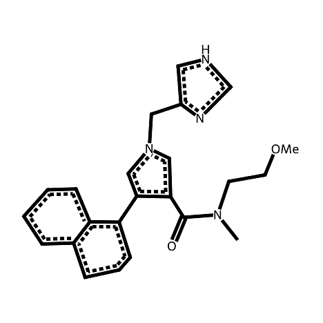 COCCN(C)C(=O)c1cn(Cc2c[nH]cn2)cc1-c1cccc2ccccc12